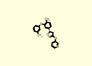 Cc1ccc([C@H]2CC(Oc3cccnc3)=NO2)cc1Oc1cccc(C(F)(F)F)c1